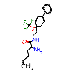 CCCCC(N)C(=O)NCCC1(OC(F)(F)F)C=CC(c2ccccc2)=CC1